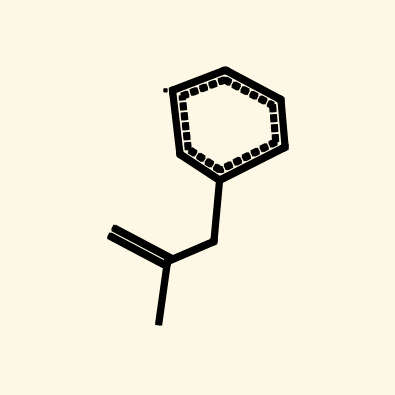 C=C(C)Cc1c[c]ccc1